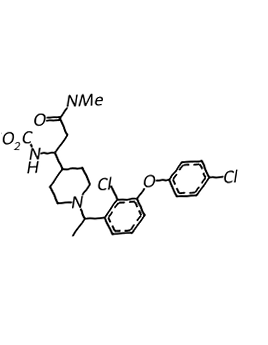 CNC(=O)CC(NC(=O)O)C1CCN(C(C)c2cccc(Oc3ccc(Cl)cc3)c2Cl)CC1